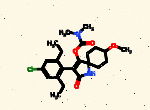 CCc1cc(Cl)cc(CC)c1C1=C(OC(=O)N(C)C)C2(CCC(OC)CC2)NC1=O